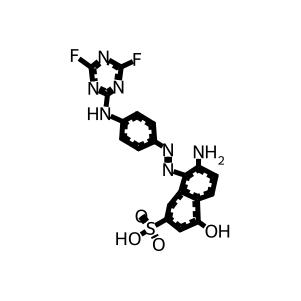 Nc1ccc2c(O)cc(S(=O)(=O)O)cc2c1N=Nc1ccc(Nc2nc(F)nc(F)n2)cc1